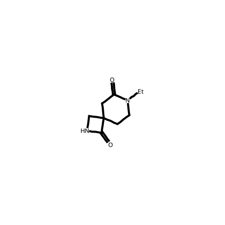 CCN1CCC2(CNC2=O)CC1=O